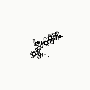 NC(=O)c1nn(CC(=O)N2C[C@H](F)C[C@H]2C(=O)Nc2cccc(-c3ccc4nc(C(=O)O)[nH]c4c3Cl)c2F)c2ccccc12